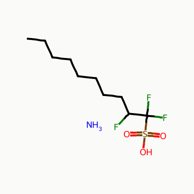 CCCCCCCCC(F)C(F)(F)S(=O)(=O)O.N